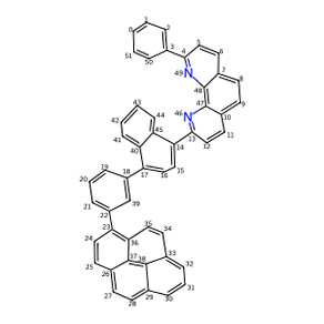 c1ccc(-c2ccc3ccc4ccc(-c5ccc(-c6cccc(-c7ccc8ccc9cccc%10ccc7c8c9%10)c6)c6ccccc56)nc4c3n2)cc1